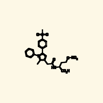 Cc1c(CC(=O)N[C@@H](CCO[N+](=O)[O-])C(=O)O)cc(-c2ccc(S(C)(=O)=O)cc2)n1-c1ccccc1